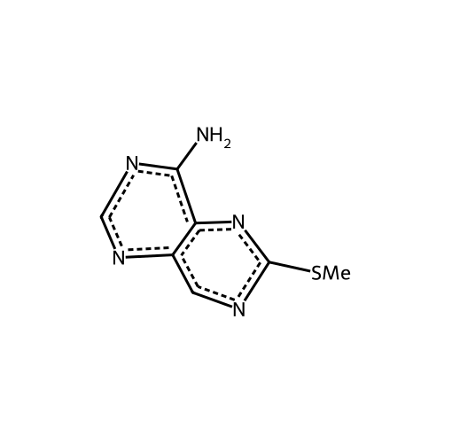 CSc1ncc2ncnc(N)c2n1